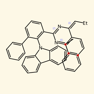 CC/C=C(/N=C(\N=C(/C)c1ccccc1)c1cccc(-c2ccccc2)c1-n1c2ccccc2c2ccccc21)c1ccccc1